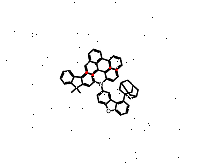 CC1(C)c2ccccc2-c2ccc(N(c3ccc4oc5cccc(C67CC8CC(CC(C8)C6)C7)c5c4c3)c3ccccc3-c3cccc4cccc(-c5ccccc5)c34)cc21